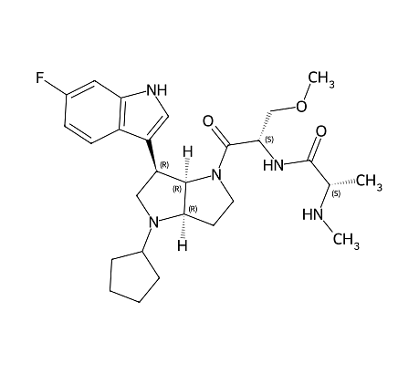 CN[C@@H](C)C(=O)N[C@@H](COC)C(=O)N1CC[C@@H]2[C@H]1[C@H](c1c[nH]c3cc(F)ccc13)CN2C1CCCC1